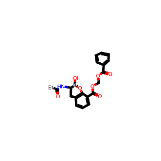 CCC(=O)NC1Cc2cccc(C(=O)OCOC(=O)c3ccccc3)c2OB1O